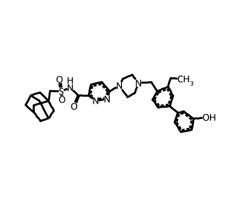 CCc1cc(-c2cccc(O)c2)ccc1CN1CCN(c2ccc(C(=O)NS(=O)(=O)CC34CC5CC(CC(C5)C3)C4)nn2)CC1